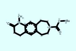 CN1C(=O)CCc2cc3c(cc21)CCN(C(=O)OC(C)(C)C)CC3